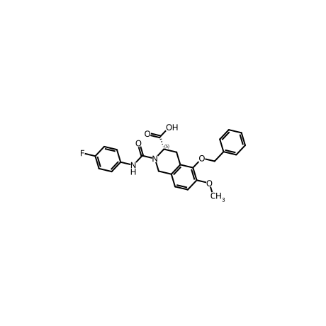 COc1ccc2c(c1OCc1ccccc1)C[C@@H](C(=O)O)N(C(=O)Nc1ccc(F)cc1)C2